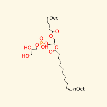 CCCCCCCC/C=C\CCCCCCCCCC(=O)O[C@H](COC(=O)CCCCCCCCCCCCC)COP(=O)(O)OC[C@@H](O)CO